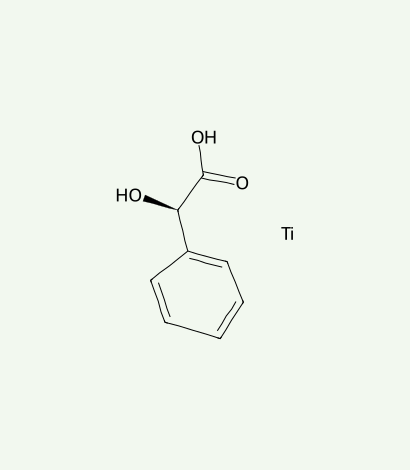 O=C(O)[C@H](O)c1ccccc1.[Ti]